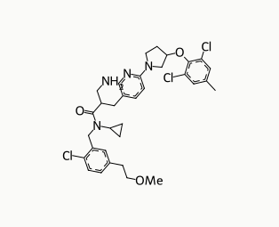 COCCc1ccc(Cl)c(CN(C(=O)C(CN)Cc2ccc(N3CCC(Oc4c(Cl)cc(C)cc4Cl)C3)nc2)C2CC2)c1